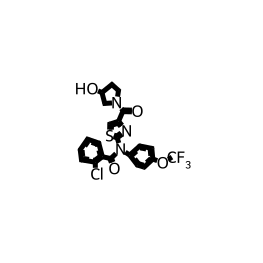 O=C(c1csc(N(C(=O)c2ccccc2Cl)c2ccc(OC(F)(F)F)cc2)n1)N1CCC(O)C1